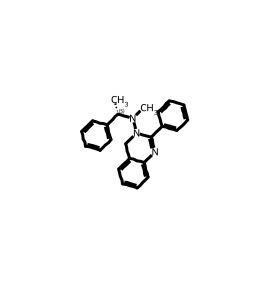 C[C@@H](c1ccccc1)N(C)N1Cc2ccccc2N=C1c1ccccc1